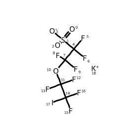 O=S(=O)([O-])C(F)(F)C(F)(F)OC(F)(F)C(F)(F)I.[K+]